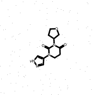 O=C1CCN(c2cn[nH]c2)C(=O)N1C1CCOC1